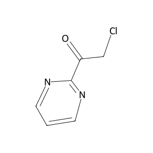 O=C(CCl)c1ncccn1